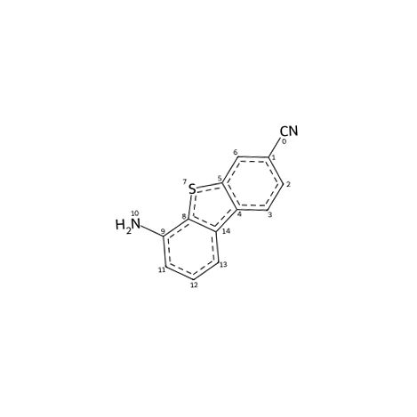 N#Cc1ccc2c(c1)sc1c(N)cccc12